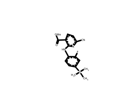 COC(=O)c1ccc(C#N)nc1Nc1ccc(S(C)(C)C)cc1F